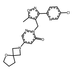 Cc1onc(-c2ccc(Cl)cn2)c1Cn1ncc(N2CC3(CCCO3)C2)cc1=O